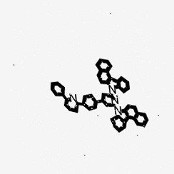 c1ccc(-c2cccc(-c3ccc(-c4cc(-n5c6ccccc6c6c7ccccc7ccc65)nc(-n5c6ccccc6c6c7ccccc7ccc65)c4)cc3)n2)cc1